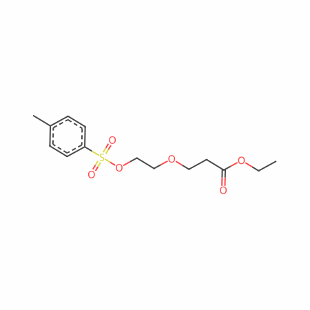 CCOC(=O)CCOCCOS(=O)(=O)c1ccc(C)cc1